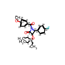 CC[Si](CC)(CC)OC1C(=O)N(C(=O)c2ccc(OC)cc2)C1c1ccc(F)cc1